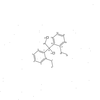 CCc1ccccc1C(Cl)(CCl)c1ccccc1CC